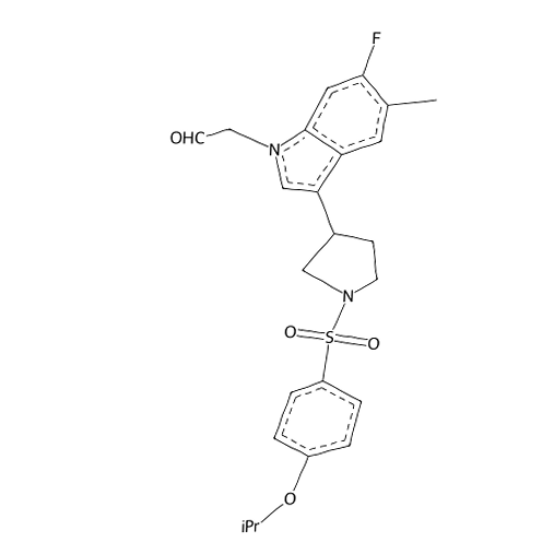 Cc1cc2c(C3CCN(S(=O)(=O)c4ccc(OC(C)C)cc4)C3)cn(CC=O)c2cc1F